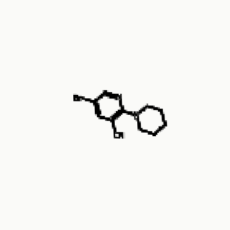 N#Cc1cc(Br)cnc1N1CCCCC1